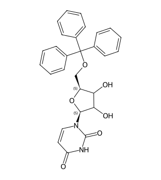 O=c1ccn([C@H]2O[C@@H](COC(c3ccccc3)(c3ccccc3)c3ccccc3)C(O)C2O)c(=O)[nH]1